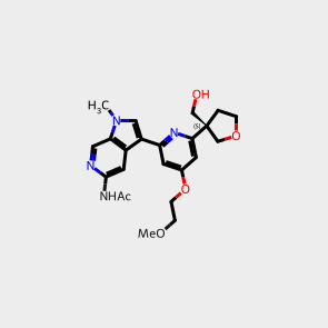 COCCOc1cc(-c2cn(C)c3cnc(NC(C)=O)cc23)nc([C@]2(CO)CCOC2)c1